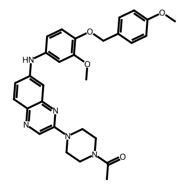 COc1ccc(COc2ccc(Nc3ccc4ncc(N5CCN(C(C)=O)CC5)nc4c3)cc2OC)cc1